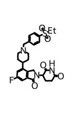 CCS(=O)(=O)c1ccc(CN2CCC(c3cc(F)cc4c3CN(C3CCC(=O)NC3=O)C4=O)CC2)cc1